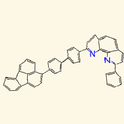 c1ccc(-c2ccc3ccc4ccc(-c5ccc(-c6ccc(-c7ccc8c9c(cccc79)-c7ccccc7-8)cc6)cc5)nc4c3n2)cc1